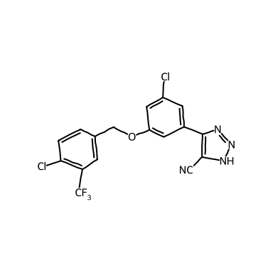 N#Cc1[nH]nnc1-c1cc(Cl)cc(OCc2ccc(Cl)c(C(F)(F)F)c2)c1